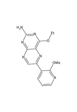 CCOc1nc(N)nc2ncc(-c3cccnc3OC)nc12